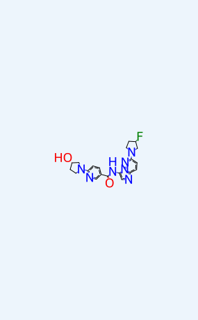 O=C(Nc1cnc2ccc(N3CCC(F)C3)nn12)c1ccc(N2CCC(O)C2)nc1